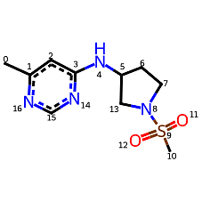 Cc1cc(NC2CCN(S(C)(=O)=O)C2)ncn1